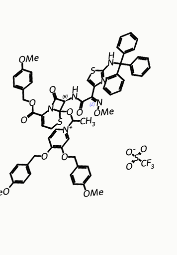 CO/N=C(\C(=O)N[C@@H]1C(=O)N2C(C(=O)OCc3ccc(OC)cc3)=CCSC12OC(C)[n+]1ccc(OCc2ccc(OC)cc2)c(OCc2ccc(OC)cc2)c1)c1csc(NC(c2ccccc2)(c2ccccc2)c2ccccc2)n1.O=S(=O)([O-])C(F)(F)F